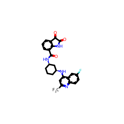 O=C1Nc2c(C(=O)N[C@@H]3CCC[C@H](Nc4cc(C(F)(F)F)nc5ccc(F)cc45)C3)cccc2C1=O